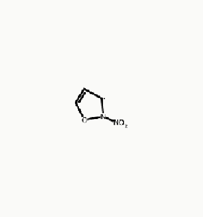 O=[N+]([O-])N1[CH]C=CO1